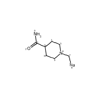 NC(=O)C1CCN([CH2][Na])CC1